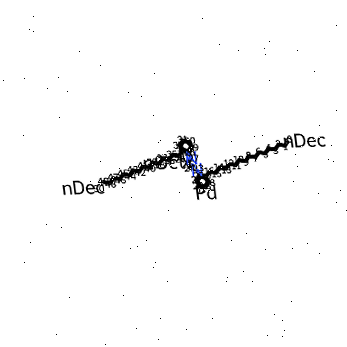 CCCCCCCCCCCCCCCCCCCCCCC=CCCc1ccccc1N=CC(CCCCCCCC)=Nc1ccccc1CCC=CCCCCCCCCCCCCCCCCCCCCCC.[Pd]